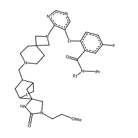 CCN(C(=O)c1cc(F)ccc1Oc1cncnc1N1CC2(CCN(CC3CC4CCC3CC43CN(CCOC)C(=O)N3)CC2)C1)C(C)C